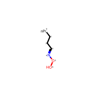 CCCCCC=NOO